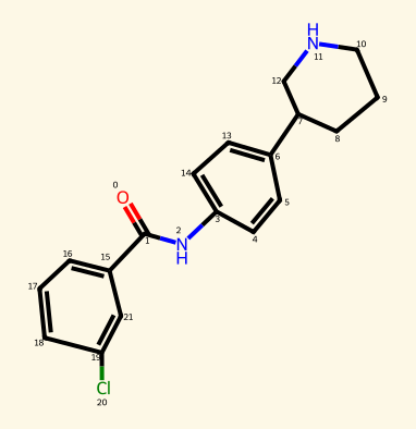 O=C(Nc1ccc(C2CCCNC2)cc1)c1cccc(Cl)c1